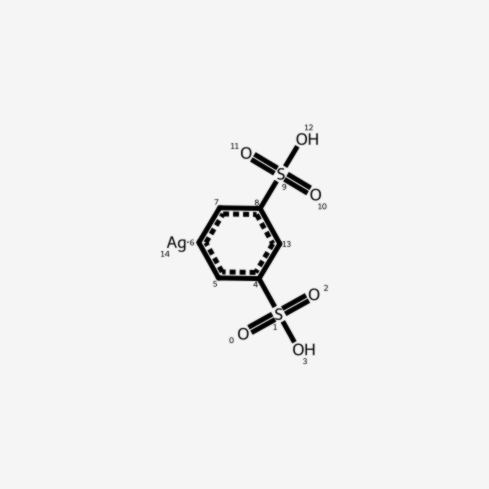 O=S(=O)(O)c1cccc(S(=O)(=O)O)c1.[Ag]